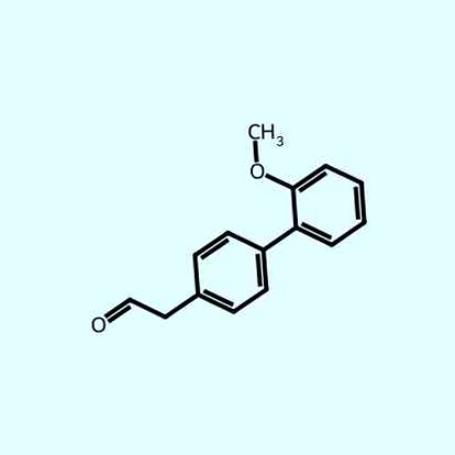 COc1ccccc1-c1ccc(CC=O)cc1